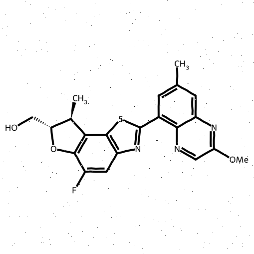 COc1cnc2c(-c3nc4cc(F)c5c(c4s3)[C@H](C)[C@@H](CO)O5)cc(C)cc2n1